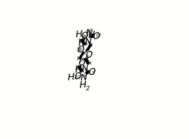 NC(=O)NCCOCCNC(N)=O.OCCOCCOCCO